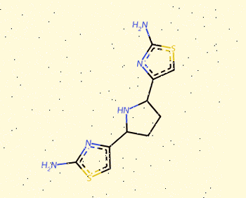 Nc1nc(C2CCC(c3csc(N)n3)N2)cs1